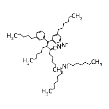 CCCCCC[CH2][Ni][CH2]CCCCCC.CCCCCCc1cccc(C(=C(CCCCC)C(=C=[N+]=[N-])CCCCC)c2cccc(CCCCC)c2)c1